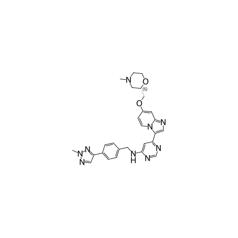 CN1CCO[C@H](COc2ccn3c(-c4cc(NCc5ccc(-c6cnn(C)n6)cc5)ncn4)cnc3c2)C1